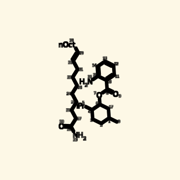 CC1CCC(C(C)C)C(OC(=O)c2ccccc2N)C1.CCCCCCCCC=CCCCCCCCC(N)=O